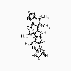 Cc1c(-c2[nH]c3sc(C4C[C@@H]5CN[C@H]4C5)c(C)c3c2C(C)C)cn2ncnc2c1C